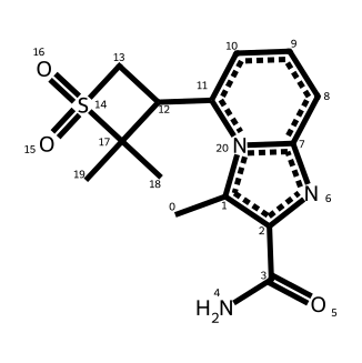 Cc1c(C(N)=O)nc2cccc(C3CS(=O)(=O)C3(C)C)n12